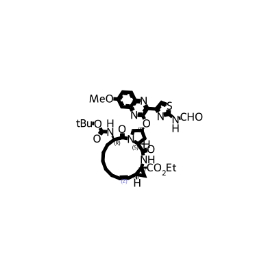 CCOC(=O)[C@@]12C[C@H]1/C=C\CCCCC[C@@H](NC(=O)OC(C)(C)C)C(=O)N1C[C@@H](Oc3nc4cc(OC)ccc4nc3-c3csc(NC=O)n3)C[C@H]1C(=O)N2